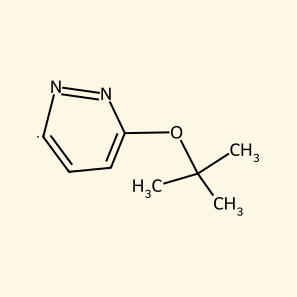 CC(C)(C)Oc1cc[c]nn1